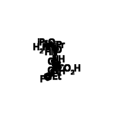 CCC(C(=O)Nc1sc(C(=O)NCCNC(=O)[C@@H](NC(=O)[C@@H](N)C(C)C)C(C)C)c(C)c1C(=O)O)c1ccc(F)cc1